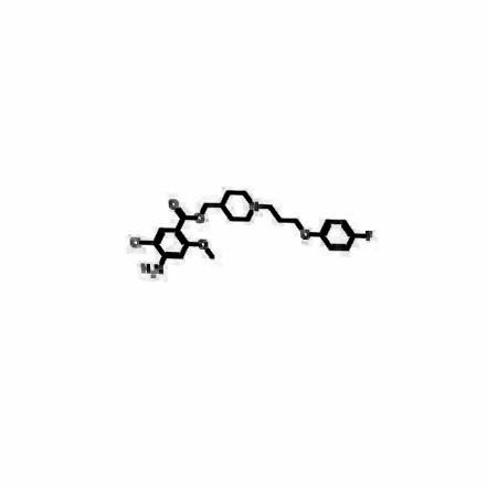 COc1cc(N)c(Cl)cc1C(=O)OCC1CCN(CCCOc2ccc(F)cc2)CC1